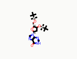 CC(C)(C)[Si](C)(C)OC[C@H]1O[C@@H](n2cnc3c(=O)[nH]cnc32)CC1O[Si](C)(C)C(C)(C)C